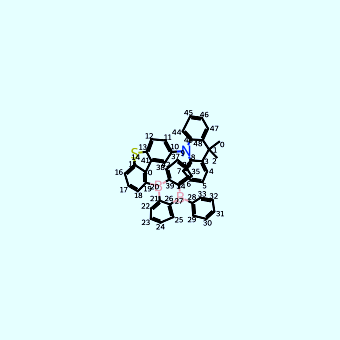 CC1(C)c2ccccc2N(c2ccc3sc4cccc(B5c6ccccc6B(c6ccccc6)c6ccccc65)c4c3c2)c2ccccc21